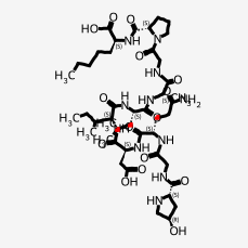 CCCCC[C@H](NC(=O)[C@@H]1CCCN1C(=O)CNC(=O)[C@H](C)NC(=O)[C@H](CC(C)C)NC(=O)[C@@H](NC(=O)[C@H](CC(=O)O)NC(=O)[C@H](CCC(N)=O)NC(=O)CNC(=O)[C@@H]1C[C@@H](O)CN1)C(C)CC)C(=O)O